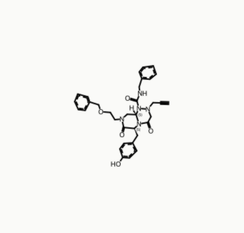 C#CCN1CC(=O)N2[C@@H](Cc3ccc(O)cc3)C(=O)N(CCOCc3ccccc3)C[C@@H]2N1C(=O)NCc1ccccc1